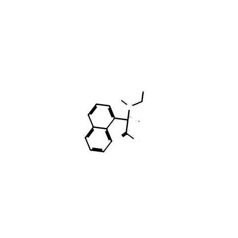 CCN(F)[C@@](C)(C(=O)O)c1cccc2ccccc12